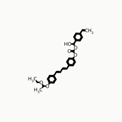 C=Cc1ccc(C(O)OC(=O)Oc2ccc(C=CC=Cc3ccc(OC(C)OCC)cc3)cc2)cc1